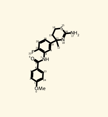 COc1ccc(C(=O)Nc2cc(C3(C)CCSC(N)=N3)ccc2F)cc1